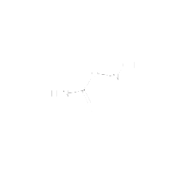 CNOC(N)=S